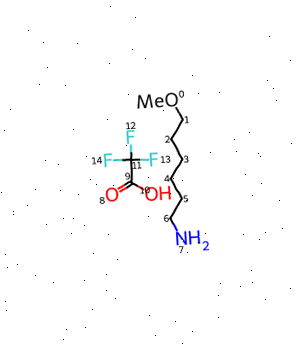 COCCCCCCN.O=C(O)C(F)(F)F